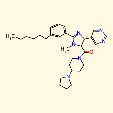 CCCCCCc1cccc(C2=NC(c3cncnc3)C(C(=O)N3CCC(N4CCCC4)CC3)N2C)c1